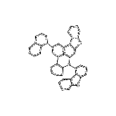 c1cc(-c2ccccc2N(c2ccc3c(c2)sc2ccccc23)c2cccc3oc4ccccc4c23)cc(-c2cccc3ccccc23)c1